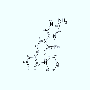 Nc1cnc(-c2ccc(-c3ccccc3N3CCOCC3)cc2F)cn1